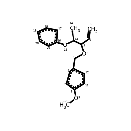 C=CC(OCc1ccc(OC)cc1)[C@H](C)Oc1ccccc1